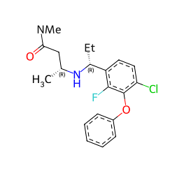 CC[C@@H](N[C@H](C)CC(=O)NC)c1ccc(Cl)c(Oc2ccccc2)c1F